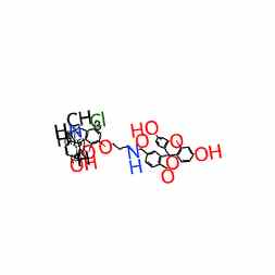 CN1CC[C@]23c4c5c(Cl)cc(OCCCNC(=O)c6ccc7c(c6)C6(OC7=O)c7ccc(O)cc7Oc7cc(O)ccc76)c4O[C@H]2[C@@H](O)C=C[C@H]3[C@H]1C5